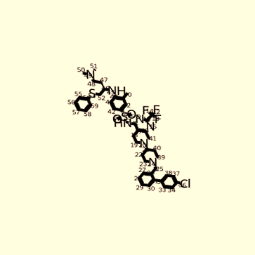 Cc1cc(S(=O)(=O)Nc2nc(C(F)(F)F)nc3c2CCN(C2CCN(Cc4ccccc4-c4ccc(Cl)cc4)CC2)C3)ccc1N[C@H](CCN(C)C)CSc1ccccc1